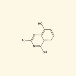 CC(=O)c1nc(O)c2cccc(O)c2n1